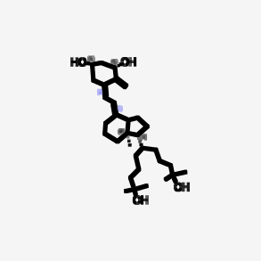 C=C1/C(=C\C=C2/CCC[C@@]3(C)C2CC[C@@H]3C(CCCC(C)(C)O)CCCC(C)(C)O)C[C@@H](O)C[C@@H]1O